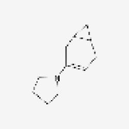 C1=C(N2CCCC2)CC2CC2C1